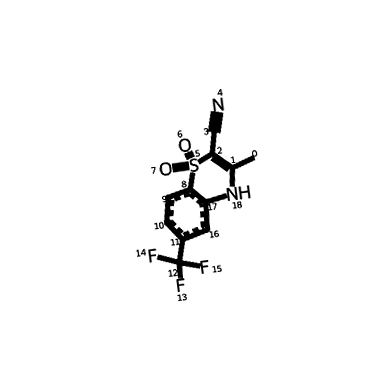 CC1=C(C#N)S(=O)(=O)c2ccc(C(F)(F)F)cc2N1